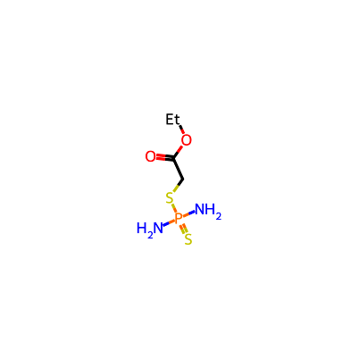 CCOC(=O)CSP(N)(N)=S